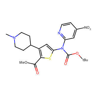 COC(=O)c1sc(N(C(=O)OC(C)(C)C)c2cc([N+](=O)[O-])ccn2)cc1C1CCN(C)CC1